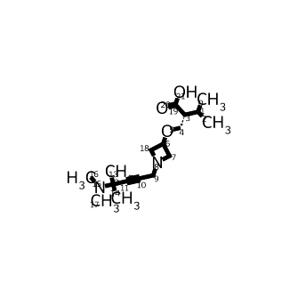 CC(C)[C@H](COC1CN(CC#CC(C)(C)N(C)C)C1)C(=O)O